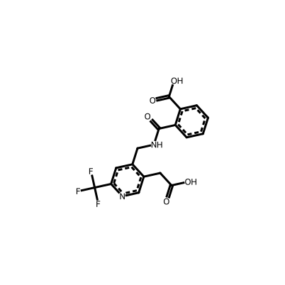 O=C(O)Cc1cnc(C(F)(F)F)cc1CNC(=O)c1ccccc1C(=O)O